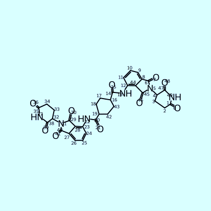 O=C1CCC(N2C(=O)c3cccc(NC(=O)C4CCC(C(=O)Nc5cccc6c5C(=O)N(C5CCC(=O)NC5=O)C6=O)CC4)c3C2=O)C(=O)N1